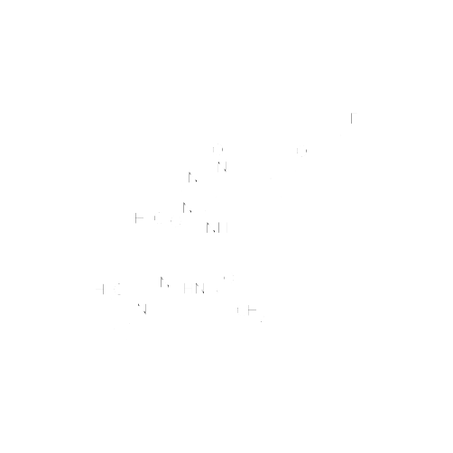 C=CC(=O)Nc1cc(Nc2cc(N3OCC[C@@H]3Cc3cccc(Oc4cccc(F)c4)c3)ncn2)c(OC)cc1N1CCN(C2CC2)[C@H](C)C1